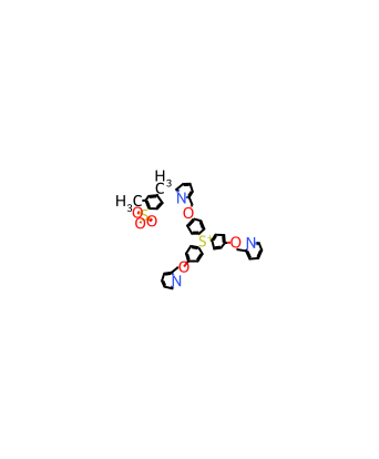 Cc1ccc(S(=O)(=O)[O-])c(C)c1.c1ccc(COc2ccc([S+](c3ccc(OCc4ccccn4)cc3)c3ccc(OCc4ccccn4)cc3)cc2)nc1